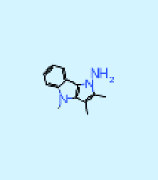 Cc1c(C)n(N)c2c3ccccc3n(C)c12